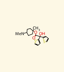 CNC1CCC(C)(OC(=O)C(O)(c2cccs2)c2cccs2)CC1